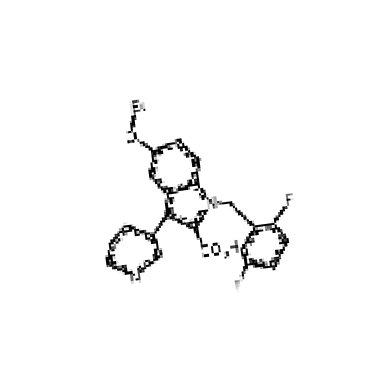 CCOc1ccc2c(c1)c(-c1cccnc1)c(C(=O)O)n2Cc1cc(F)ccc1F